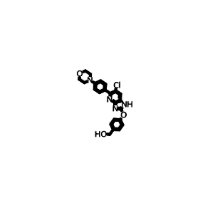 OCc1ccc(Oc2nc3nc(-c4ccc(N5CCOCC5)cc4)c(Cl)cc3[nH]2)cc1